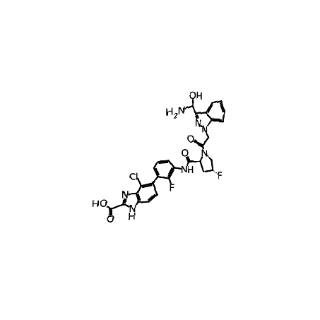 NC(O)c1nn(CC(=O)N2C[C@H](F)C[C@H]2C(=O)Nc2cccc(-c3ccc4[nH]c(C(=O)O)nc4c3Cl)c2F)c2ccccc12